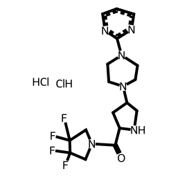 Cl.Cl.O=C(C1CC(N2CCN(c3ncccn3)CC2)CN1)N1CC(F)(F)C(F)(F)C1